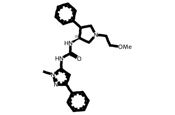 COCCN1CC(c2ccccc2)[C@H](NC(=O)Nc2cc(-c3ccccc3)nn2C)C1